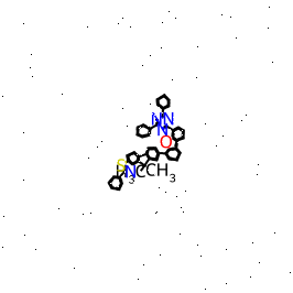 CC1(C)c2cc(-c3cccc4c3oc3c(-c5nc(-c6ccccc6)nc(-c6ccccc6)n5)cccc34)ccc2-c2ccc3sc(-c4ccccc4)nc3c21